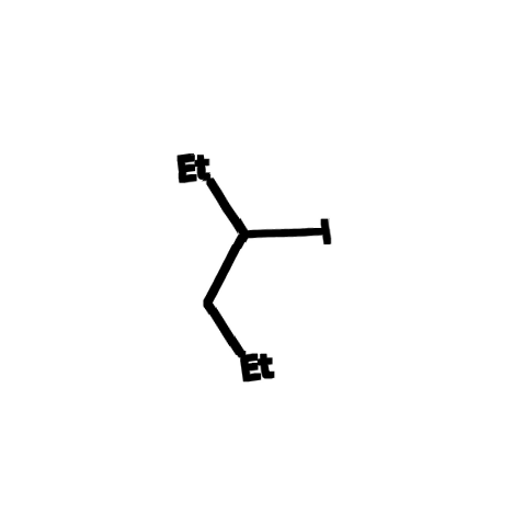 [CH2]CCC(I)CC